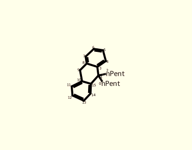 CCCCCC1(CCCCC)c2ccccc2Cc2ccccc21